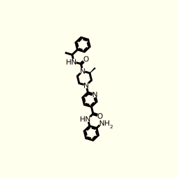 CC(NC(=O)N1CCN(c2ccc(C(=O)Nc3ccccc3N)cn2)C[C@@H]1C)c1ccccc1